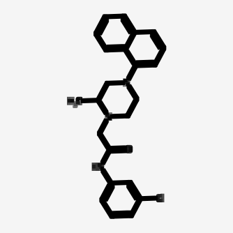 CC1CN(c2cccc3ccccc23)CCN1CC(=O)Nc1cccc(Cl)c1